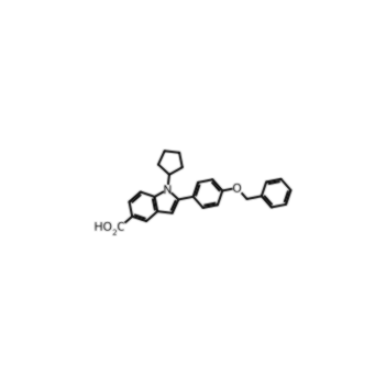 O=C(O)c1ccc2c(c1)cc(-c1ccc(OCc3ccccc3)cc1)n2C1CCCC1